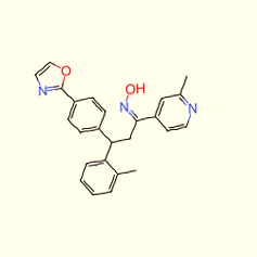 Cc1cc(C(CC(c2ccc(-c3ncco3)cc2)c2ccccc2C)=NO)ccn1